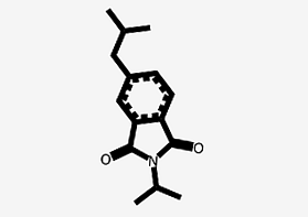 CC(C)Cc1ccc2c(c1)C(=O)N(C(C)C)C2=O